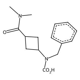 CN(C)C(=O)C1CC(N(Cc2ccccc2)C(=O)O)C1